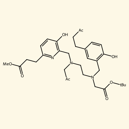 COC(=O)CCc1ccc(O)c(CN(CCN(CC(=O)OC(C)(C)C)Cc2cc(CCC(C)=O)ccc2O)CC(C)=O)n1